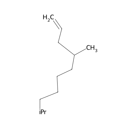 C=CCC(C)CCCCC(C)C